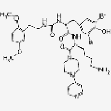 COc1ccc(OC)c(CCNC(=O)N[C@@H](Cc2cc(Br)c(O)c(Br)c2)C(=O)N[C@@H](CCCCN)C(=O)N2CCN(c3ccncc3)CC2)c1